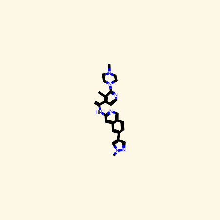 C=C(Nc1cc2cc(-c3cnn(C)c3)ccc2cn1)c1ccnc(N2CCN(C)CC2)c1C